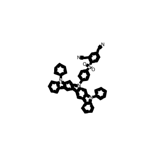 N#Cc1ccc(S(=O)(=O)c2ccc(-n3c4cc5c(cc4c4cc6c7ccccc7n(-c7ccccc7)c6cc43)c3ccccc3n5-c3ccccc3)cc2)c(C#N)c1